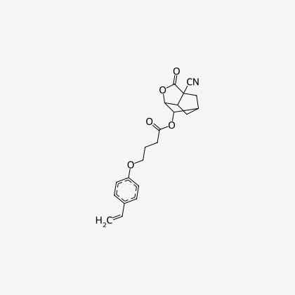 C=Cc1ccc(OCCCC(=O)OC2C3CC4C2OC(=O)C4(C#N)C3)cc1